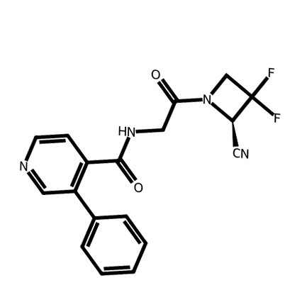 N#C[C@H]1N(C(=O)CNC(=O)c2ccncc2-c2ccccc2)CC1(F)F